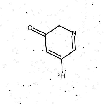 [2H]C1=CC(=O)CN=C1